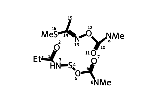 CCC(=O)NSOC(=O)NC.CNC(=O)O/N=C(\C)SC